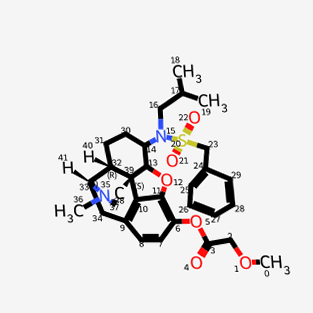 COCC(=O)Oc1ccc2c3c1OC1C(N(CC(C)C)S(=O)(=O)Cc4ccccc4)CC[C@H]4[C@@H](C2)N(C)CC[C@]314